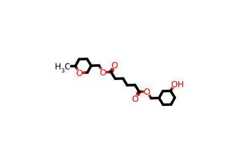 CC1CCC(COC(=O)CCCCC(=O)OCC2CCCC(O)C2)CO1